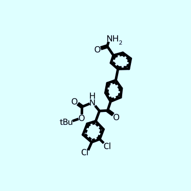 CC(C)(C)OC(=O)NC(C(=O)c1ccc(-c2cccc(C(N)=O)c2)cc1)c1ccc(Cl)c(Cl)c1